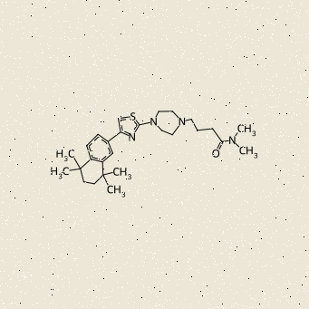 CN(C)C(=O)CCCN1CCN(c2nc(-c3ccc4c(c3)C(C)(C)CCC4(C)C)cs2)CC1